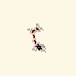 C=CC12CC1(C)C1C(=O)N(CCC(=O)OCCCOC(=O)C(C)COC(=C)C(C)(C)Br)C(=O)C1C2(C)C